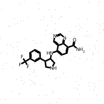 NC(=O)c1ccc(NC2CNCC2c2cccc(C(F)(F)F)c2)c2cncnc12